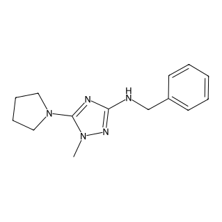 Cn1nc(NCc2ccccc2)nc1N1CCCC1